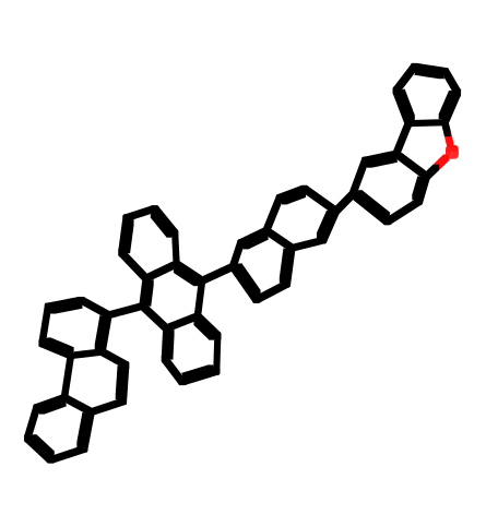 c1ccc2c(c1)ccc1c(-c3c4ccccc4c(-c4ccc5cc(-c6ccc7oc8ccccc8c7c6)ccc5c4)c4ccccc34)cccc12